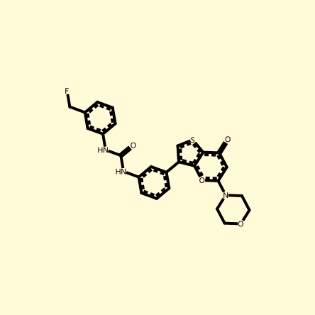 O=C(Nc1cccc(CF)c1)Nc1cccc(-c2csc3c(=O)cc(N4CCOCC4)oc23)c1